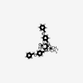 CC1(C)O[C@@H]2[C@@H](O1)[C@@H](Cc1ccc(OCc3ccccc3)cc1)NC(=O)N[C@@H]2Cc1ccc(OCc2ccccc2)cc1